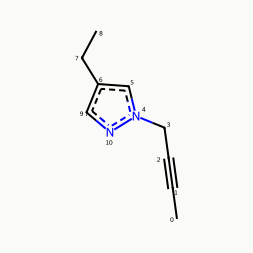 CC#CCn1cc(CC)[c]n1